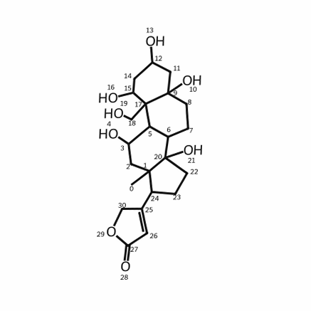 CC12CC(O)C3C(CCC4(O)CC(O)CC(O)C34CO)C1(O)CCC2C1=CC(=O)OC1